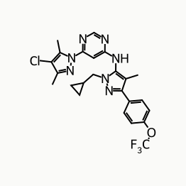 Cc1nn(-c2cc(Nc3c(C)c(-c4ccc(OC(F)(F)F)cc4)nn3CC3CC3)ncn2)c(C)c1Cl